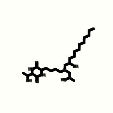 CCCCCCCCCCC(O)CN(CCCCC1NC(=O)C(C(C)O)NC1=O)CC(C)O